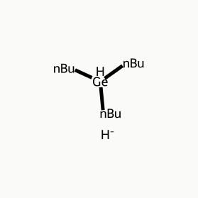 CCC[CH2][GeH]([CH2]CCC)[CH2]CCC.[H-]